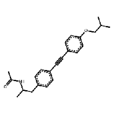 CC(=O)NC(C)Cc1ccc(C#Cc2ccc(OCC(C)C)cc2)cc1